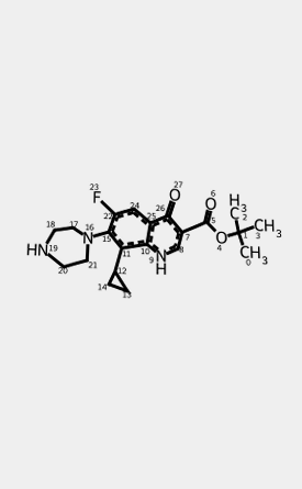 CC(C)(C)OC(=O)c1c[nH]c2c(C3CC3)c(N3CCNCC3)c(F)cc2c1=O